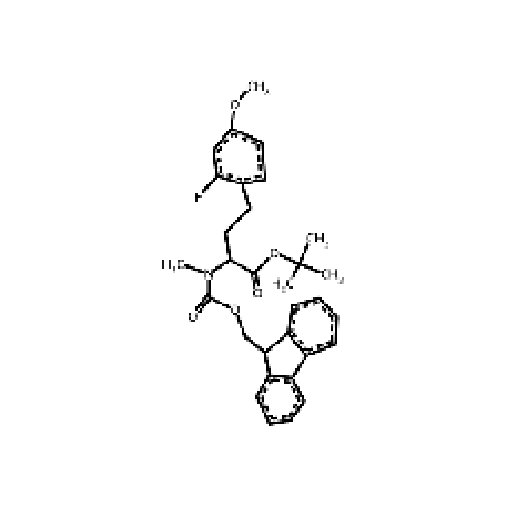 COc1ccc(CCC(C(=O)OC(C)(C)C)N(C)C(=O)OCC2c3ccccc3-c3ccccc32)c(F)c1